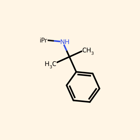 CC(C)NC(C)(C)c1ccccc1